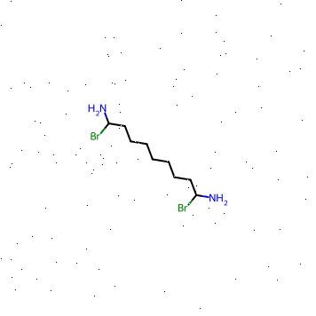 NC(Br)CCCCCCCC(N)Br